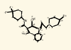 O=C(NC1CCC(F)(F)CC1)C1=C(O)c2cccnc2N(CCN2CCC(F)CC2)C1O